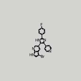 Fc1ccc(-c2nc(-c3ccncc3)c(-c3cnc4[nH]cc(Br)c4c3)[nH]2)cc1